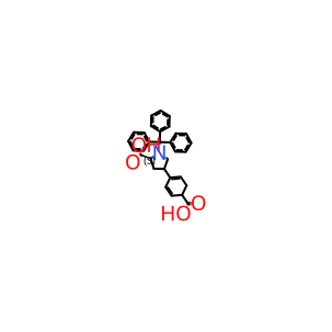 O=C(O)C1C=CC(C2C[C@@H](C(=O)O)N(C(c3ccccc3)(c3ccccc3)c3ccccc3)C2)=CC1